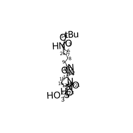 CC(C)(C)OC(=O)N[C@H]1C[C@@H](CCc2nnc([C@@H]3CC[C@H]4CN3C(=O)N4OS(=O)(=O)O)o2)C1